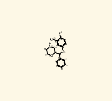 Fc1ccc(OC(c2ccccc2)C2CNCCO2)cc1Cl